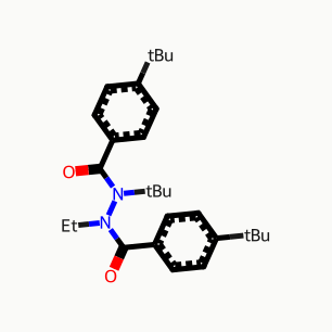 CCN(C(=O)c1ccc(C(C)(C)C)cc1)N(C(=O)c1ccc(C(C)(C)C)cc1)C(C)(C)C